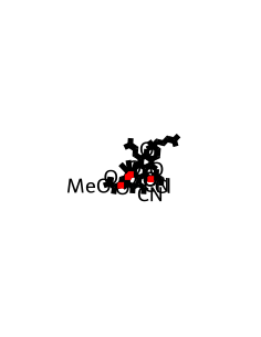 COC(=O)/C(C)=C\CC12OC(C)(C)C(C)C13Oc1c(CC=C(C)C)c4c(c(OC(=O)CCl)c1C(=O)C3C(C(C#N)C#N)C(C)C2=O)C=CC(C)(CCC=C(C)C)O4